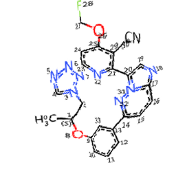 C[C@@H](Cn1cnnn1)Oc1cccc(-c2ccc3ncc(-c4nccc(OCF)c4C#N)n3n2)c1